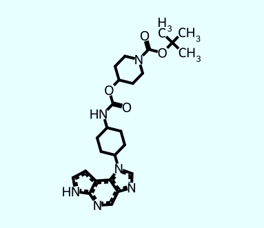 CC(C)(C)OC(=O)N1CCC(OC(=O)NC2CCC(n3cnc4cnc5[nH]ccc5c43)CC2)CC1